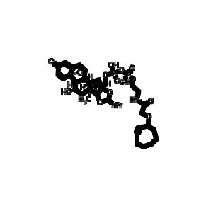 CCCC1O[C@@H]2C[C@H]3[C@@H]4CCC5=CC(=O)C=C[C@]5(C)[C@H]4[C@@H](O)C[C@]3(C)[C@]2(C(=O)COP(=O)(O)OP(=O)(O)OCCNC(=O)COC2C#CCCCCC2)O1